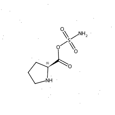 NS(=O)(=O)OC(=O)[C@@H]1CCCN1